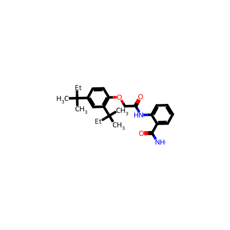 CCC(C)(C)c1ccc(OCC(=O)Nc2ccccc2C([NH])=O)c(C(C)(C)CC)c1